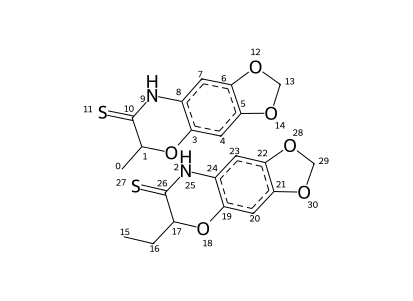 CC1Oc2cc3c(cc2NC1=S)OCO3.CCC1Oc2cc3c(cc2NC1=S)OCO3